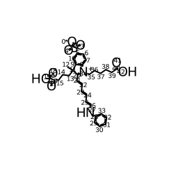 COS(=O)(=O)c1ccc2c(c1)C(C)(CCCS(=O)(=O)O)C(/C=C/C=C/C=C/Nc1ccccc1)=[N+]2CCCCCC(=O)O